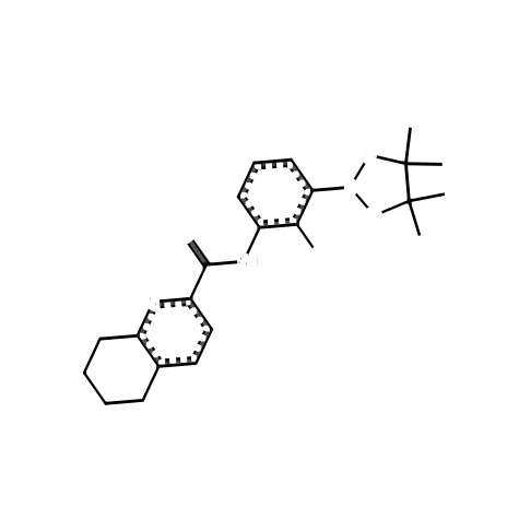 CC1(C)OB(c2cccc(NC(=O)c3ccc4c(n3)CCCC4)c2Cl)OC1(C)C